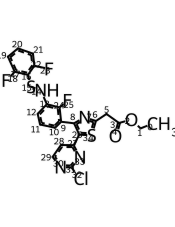 CCOC(=O)Cc1nc(-c2cccc(NSc3c(F)cccc3F)c2F)c(-c2ccnc(Cl)n2)s1